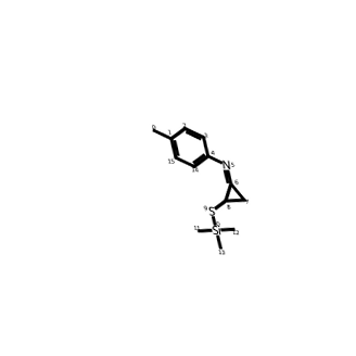 Cc1ccc(N=C2CC2S[Si](C)(C)C)cc1